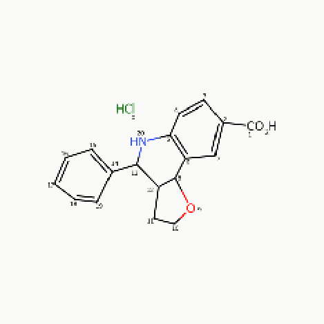 Cl.O=C(O)c1ccc2c(c1)C1OCCC1C(c1ccccc1)N2